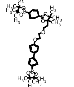 CC1(C)OB(C2=CCC(B3OC(C)(C)C(C)(CCOCCOc4ccc(-c5ccc(B6OC(C)(C)C(C)(C)O6)cc5)cc4)O3)C=C2)OC1(C)C